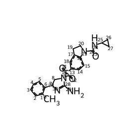 Cc1ccccc1[C@H]1CN(S(=O)(=O)c2ccc3c(c2)CCN3C(=O)NC2CC2)C(N)=N1